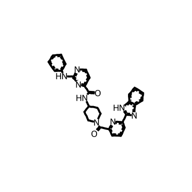 O=C(NC1CCN(C(=O)c2cccc(-c3nc4ccccc4[nH]3)n2)CC1)c1ccnc(Nc2ccccc2)n1